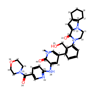 Cn1cc(-c2cccc(N3CCn4c(cc5c4CCCC5)C3=O)c2CO)cc(Nc2ccc(C(=O)N3CCOCC3)cn2)c1=O